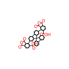 O=C1OC(=O)c2c1ccc(C(=O)O)c2-c1ccc2c(c1)C1(c3ccccc3-c3ccccc31)c1cc(-c3c(C(=O)O)ccc4c3C(=O)OC4=O)ccc1-2